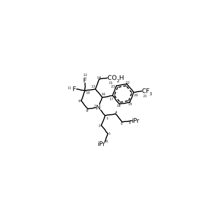 CC(C)CCC(CCC(C)C)N1CCC(F)(F)C(CC(=O)O)C1c1ccc(C(F)(F)F)cc1